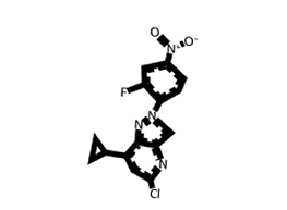 O=[N+]([O-])c1ccc(-n2cc3nc(Cl)cc(C4CC4)c3n2)c(F)c1